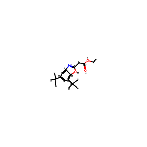 CCOC(=O)Cc1nc2cc(C(C)(C)C)cc(C(C)(C)C)c2o1